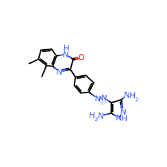 Cc1ccc2[nH]c(=O)c(-c3ccc(/N=N/c4c(N)n[nH]c4N)cc3)nc2c1C